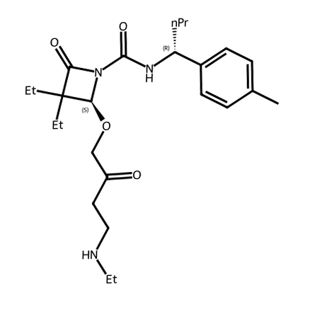 CCC[C@@H](NC(=O)N1C(=O)C(CC)(CC)[C@@H]1OCC(=O)CCNCC)c1ccc(C)cc1